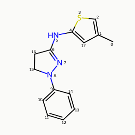 Cc1csc(NC2=NN(c3ccccc3)CC2)c1